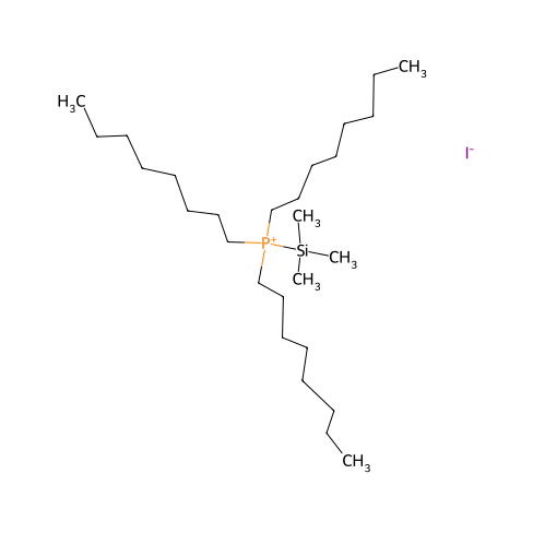 CCCCCCCC[P+](CCCCCCCC)(CCCCCCCC)[Si](C)(C)C.[I-]